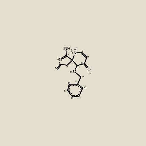 C=CCC1(C(N)=O)NC=CC(=O)C1OCc1ccccc1